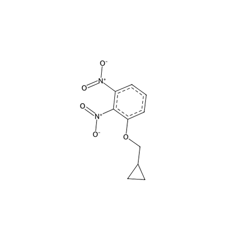 O=[N+]([O-])c1cccc(OCC2CC2)c1[N+](=O)[O-]